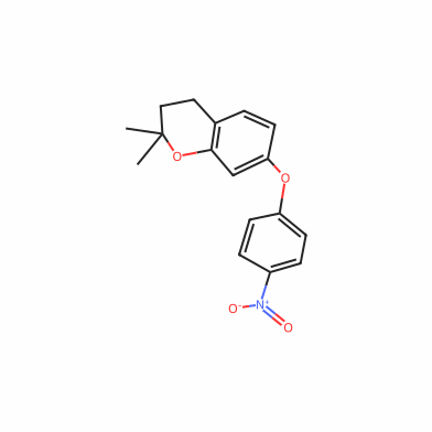 CC1(C)CCc2ccc(Oc3ccc([N+](=O)[O-])cc3)cc2O1